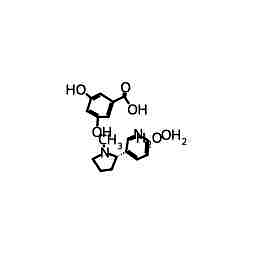 CN1CCC[C@H]1c1cccnc1.O.O.O=C(O)c1cc(O)cc(O)c1